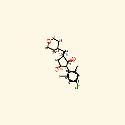 Cc1cc(F)cc(C)c1C1C(=O)C/C(=C\C2CCOCC2)C1=O